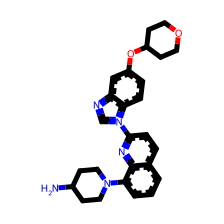 NC1CCN(c2cccc3ccc(-n4cnc5cc(OC6CCOCC6)ccc54)nc23)CC1